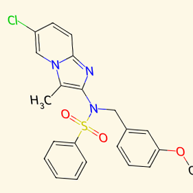 Cc1c(N(Cc2cccc(OC(F)(F)F)c2)S(=O)(=O)c2ccccc2)nc2ccc(Cl)cn12